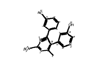 Cc1nc(N)nc(-c2cccc(C#N)c2)c1-c1cncc(O)c1